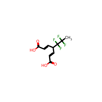 CC(F)(F)C(F)(F)C(C=CC(=O)O)C=CC(=O)O